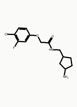 NC1CCC(CNC(=O)COc2ccc(Cl)c(F)c2)C1